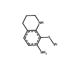 CC(C)Sc1c(N)ccc2c1NCCC2